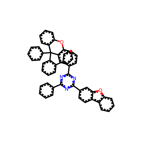 c1ccc(-c2nc(-c3ccc4c(c3)oc3ccccc34)nc(-c3ccccc3-c3ccccc3C3(c4ccccc4)c4ccccc4Oc4ccccc43)n2)cc1